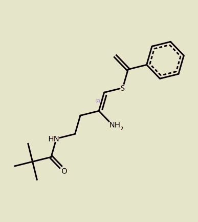 C=C(S/C=C(\N)CCNC(=O)C(C)(C)C)c1ccccc1